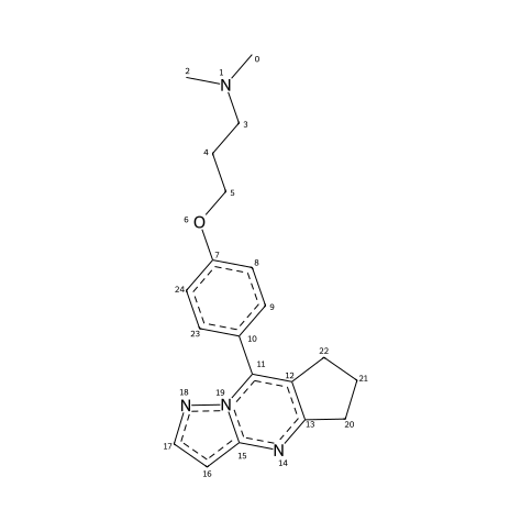 CN(C)CCCOc1ccc(-c2c3c(nc4ccnn24)CCC3)cc1